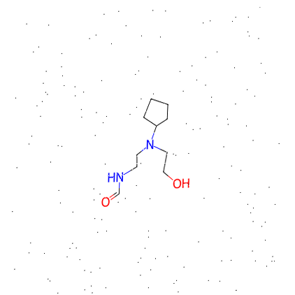 O=CNCCN(CCO)C1CCCC1